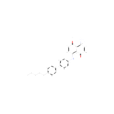 CCCCCc1ccc(-c2ccc(NC3=C4C(=O)C=CC(N)=C4C(=O)C=C3)cc2)cc1